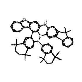 CC1(C)CCC(C)(C)c2cc(N3B4c5cc6c(cc5Nc5cc7oc8ccccc8c7c(c54)-c4cc5c(cc43)C(C)(C)CCC5(C)C)C(C)(C)c3ccccc3-6)ccc21